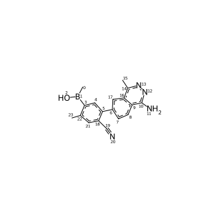 CB(O)c1cc(-c2ccc3c(N)nnc(C)c3c2)c(C#N)cc1C